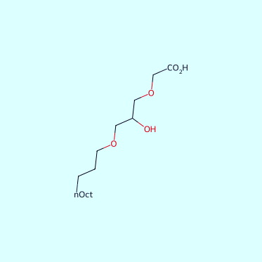 CCCCCCCCCCCOCC(O)COCC(=O)O